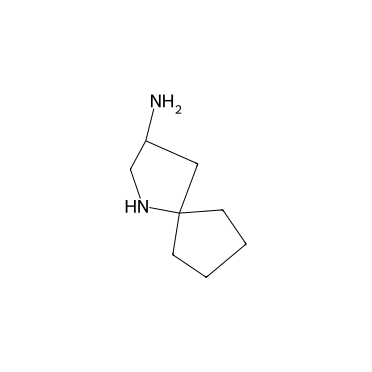 NC1CNC2(CCCC2)C1